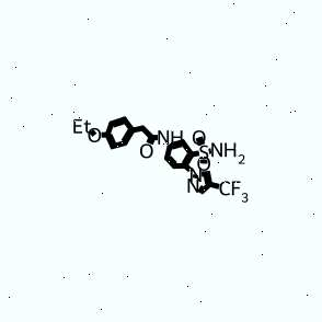 CCOc1ccc(CC(=O)Nc2ccc(-n3cc(C(F)(F)F)cn3)c(S(N)(=O)=O)c2)cc1